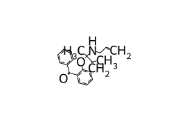 C=CCNC(C)(Oc1ccccc1C(=O)c1ccccc1)C(=C)C